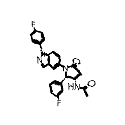 CC(=O)N[C@H]1CC(=O)N(c2ccc3c(cnn3-c3ccc(F)cc3)c2)[C@@H]1c1cccc(F)c1